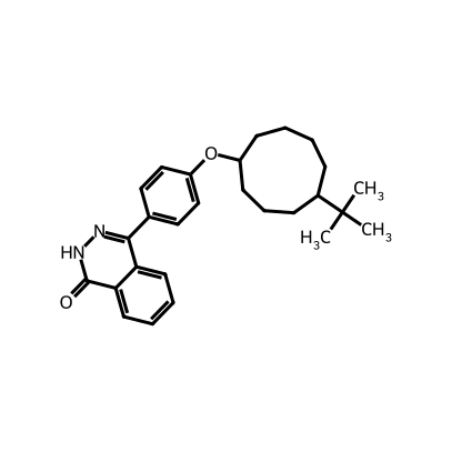 CC(C)(C)C1CCCCC(Oc2ccc(-c3n[nH]c(=O)c4ccccc34)cc2)CCC1